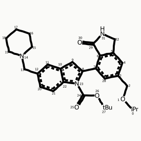 CC(C)OCc1cc2c(c(-c3cc4cc(CN5CCCCC5)ccc4n3C(=O)OC(C)(C)C)c1)C(=O)NC2